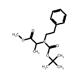 COC(=O)C(C)N(CCc1ccccc1)C(=O)OC(C)(C)C